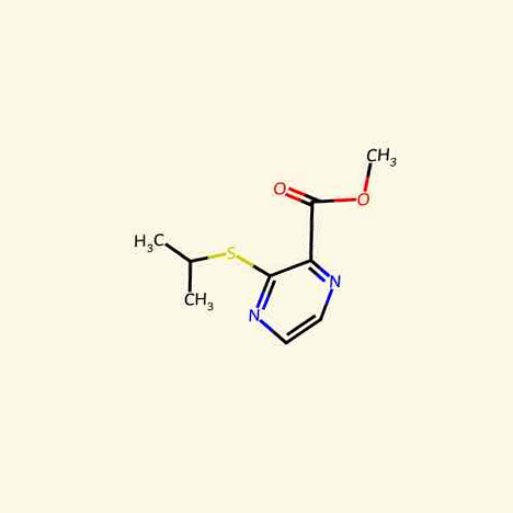 COC(=O)c1nccnc1SC(C)C